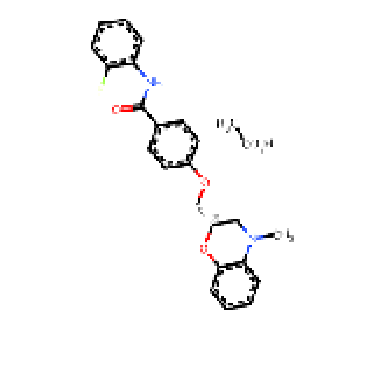 CC(=O)O.CN1C[C@@H](COc2ccc(C(=O)Nc3ccccc3F)cc2)Oc2ccccc21